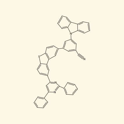 N#Cc1cc(-c2ccc3sc4ccc(-c5cc(-c6ccccc6)nc(-c6ccccc6)n5)cc4c3c2)cc(-n2c3ccccc3c3ccccc32)c1